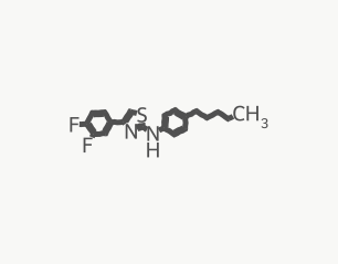 CCCCCc1ccc(Nc2nc(-c3ccc(F)c(F)c3)cs2)cc1